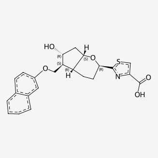 O=C(O)c1csc([C@H]2CC[C@@H]3[C@@H](COc4ccc5ccccc5c4)[C@H](O)C[C@@H]3O2)n1